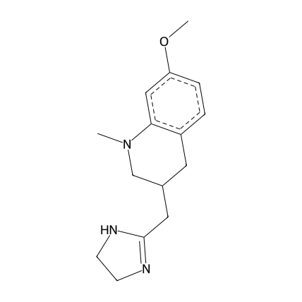 COc1ccc2c(c1)N(C)CC(CC1=NCCN1)C2